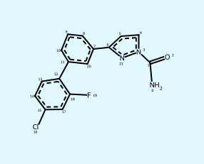 NC(=O)n1ccc(-c2cccc(-c3ccc(Cl)cc3F)c2)n1